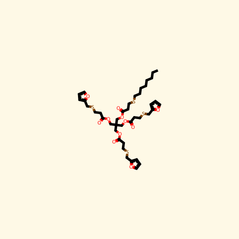 CCCCCCCCSCCC(=O)OCC(COC(=O)CCSCc1ccco1)(COC(=O)CCSCc1ccco1)COC(=O)CCSCc1ccco1